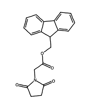 O=C(CN1C(=O)CCC1=O)OCC1c2ccccc2-c2ccccc21